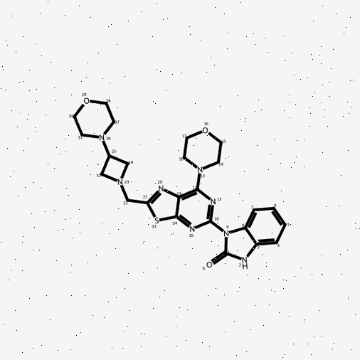 O=c1[nH]c2ccccc2n1-c1nc(N2CCOCC2)c2nc(CN3CC(N4CCOCC4)C3)sc2n1